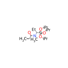 C=CC(=O)N(C)C(CC)[Si](OC(C)C)(OC(C)C)OC(C)C